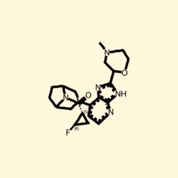 CN1CCOC(c2nc3c(N4CC5CCC(C4)N5C(=O)[C@@H]4C[C@H]4F)ccnc3[nH]2)C1